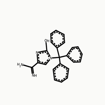 N=C(N)c1cn(C(c2ccccc2)(c2ccccc2)c2ccccc2)c(O)n1